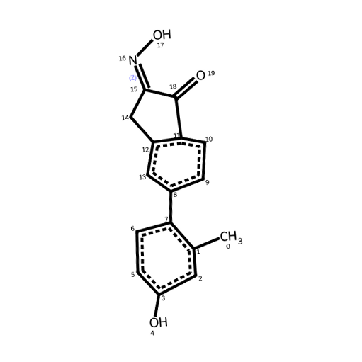 Cc1cc(O)ccc1-c1ccc2c(c1)C/C(=N/O)C2=O